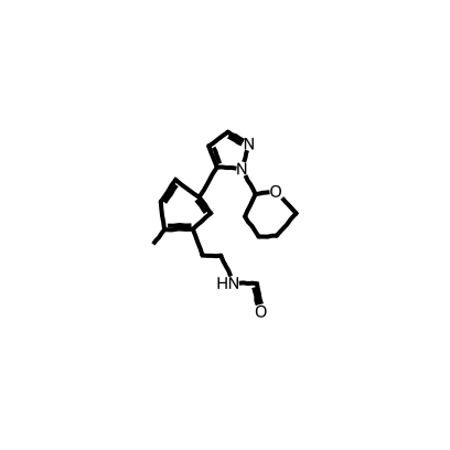 Cc1ccc(-c2ccnn2C2CCCCO2)cc1CCNC=O